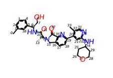 Cc1cccc([C@@H](CO)NC(=O)[C@@H](C)N2Cc3ccc(-c4cc(NC5CCOCC5)ncc4C)nc3C2=O)c1